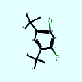 CC(C)(C)c1cc(C(C)(C)C)c(Cl)cc1Cl